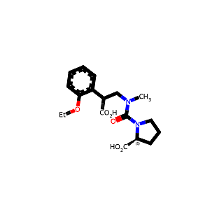 CCOc1ccccc1C(CN(C)C(=O)N1CCC[C@H]1C(=O)O)C(=O)O